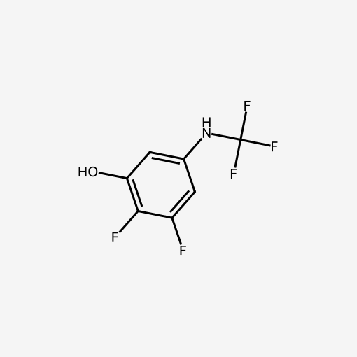 Oc1cc(NC(F)(F)F)cc(F)c1F